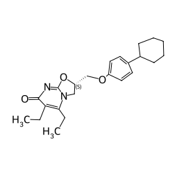 CCc1c(CC)n2c(nc1=O)O[C@H](COc1ccc(C3CCCCC3)cc1)C2